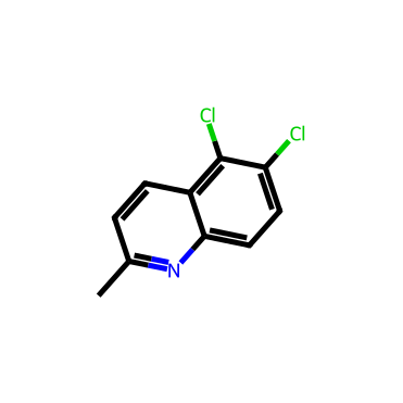 Cc1ccc2c(Cl)c(Cl)ccc2n1